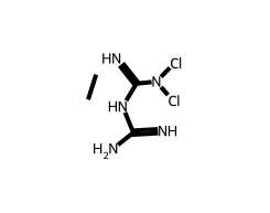 CC.N=C(N)NC(=N)N(Cl)Cl